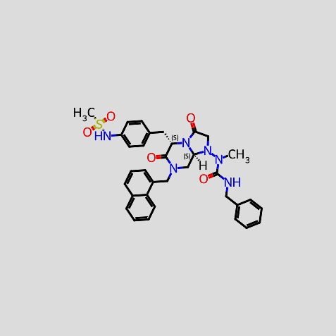 CN(C(=O)NCc1ccccc1)N1CC(=O)N2[C@@H](Cc3ccc(NS(C)(=O)=O)cc3)C(=O)N(Cc3cccc4ccccc34)C[C@@H]21